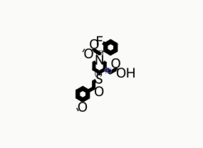 COC(=O)[C@H](c1ccccc1F)N1CC[C@@H](SCC(=O)c2cccc(OC)c2)/C(=C/C(=O)O)C1